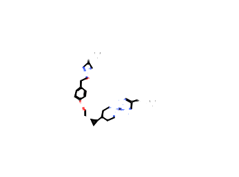 COCc1cnc(N2CCC(C3C[C@H]3CCOc3ccc(CC(=O)N4CC(OC)C4)cc3)CC2)nc1